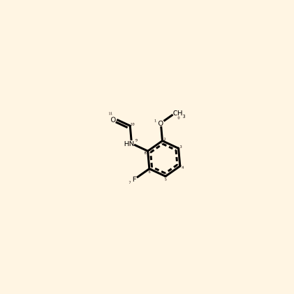 COc1cccc(F)c1NC=O